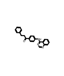 O=C(C[CH]c1ccccc1)c1ccc(Nc2ncnc3ccccc23)cc1